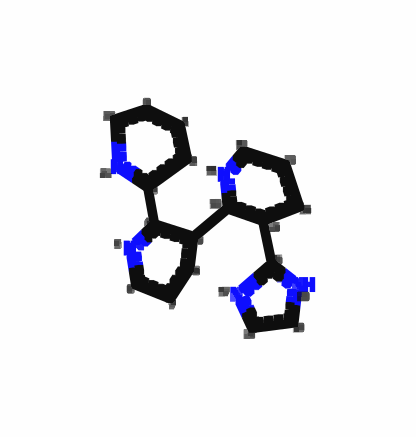 c1ccc(-c2ncccc2-c2ncccc2-c2ncc[nH]2)nc1